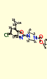 CC1CN(C(=O)OC(C)(C)C)CCN1c1nc2cc(Cl)cc(C3CC3)c2o1